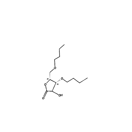 CCCCOC[C@H]1OC(=O)C(O)[C@H]1OCCCC